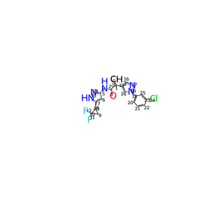 C[C@H](C(=O)Nc1cc([C@H]2CC2(F)F)[nH]n1)c1cnn(-c2cccc(Cl)c2)c1